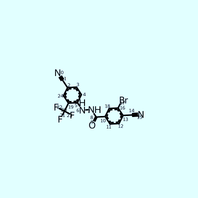 N#Cc1ccc(NNC(=O)c2ccc(C#N)c(Br)c2)c(C(F)(F)F)c1